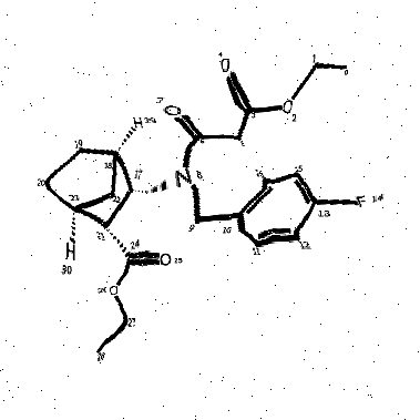 CCOC(=O)CC(=O)N(Cc1ccc(F)cc1)[C@H]1[C@@H]2CC[C@@H](C2)[C@H]1C(=O)OCC